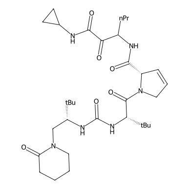 CCCC(NC(=O)[C@@H]1C=CCN1C(=O)[C@@H](NC(=O)N[C@H](CN1CCCCC1=O)C(C)(C)C)C(C)(C)C)C(=O)C(=O)NC1CC1